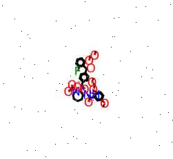 COCOc1ccc(OC)cc1C(=O)NC1CCCC[N+](OC(=O)c2ccc(C(=O)c3c(F)cccc3OCOC)cc2)(C(=O)[O-])C1